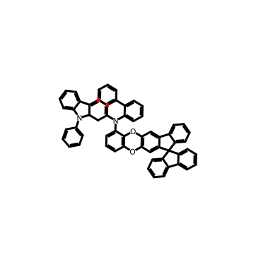 C1=C2c3ccccc3N(c3ccccc3)C2CC(N(c2ccccc2-c2ccccc2)c2cccc3c2Oc2cc4c(cc2O3)C2(c3ccccc3-c3ccccc32)c2ccccc2-4)=C1